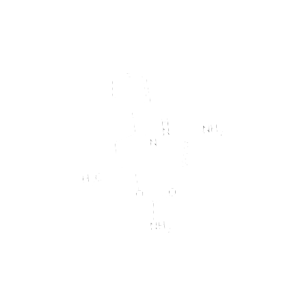 CC(COC(N)=O)CC(=NNC(N)=S)c1ccccc1